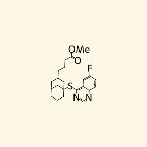 COC(=O)CCCC1CC2CCCC(Sc3ncnc4ccc(F)cc34)(C1)C2